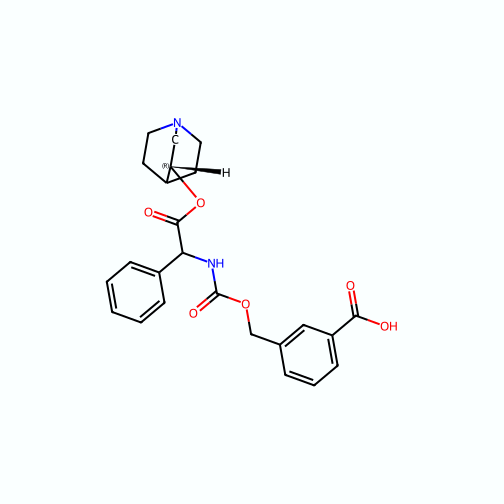 O=C(NC(C(=O)O[C@H]1CN2CCC1CC2)c1ccccc1)OCc1cccc(C(=O)O)c1